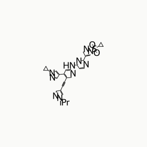 CC(C)n1cc(C#Cc2cnc(Nc3ccnc(-c4cnn(S(=O)(=O)C5CC5)c4)n3)cc2-c2cnn(C3CC3)c2)cn1